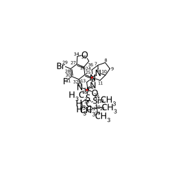 CCSc1nc(N2C3CCC2CN(C[C@@H](C)O[Si](C)(C)C(C)(C)C)C3)c2c3c(c(Br)c(F)c2n1)COC3